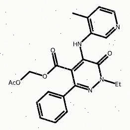 CCn1nc(-c2ccccc2)c(C(=O)OCOC(C)=O)c(Nc2cnccc2C)c1=O